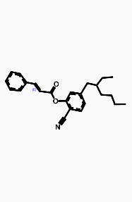 CCCCC(CC)Cc1ccc(C#N)c(OC(=O)/C=C/c2ccccc2)c1